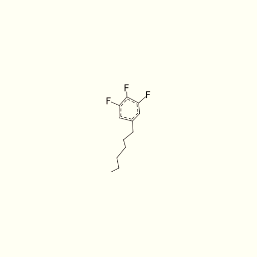 CCCCCCc1cc(F)c(F)c(F)c1